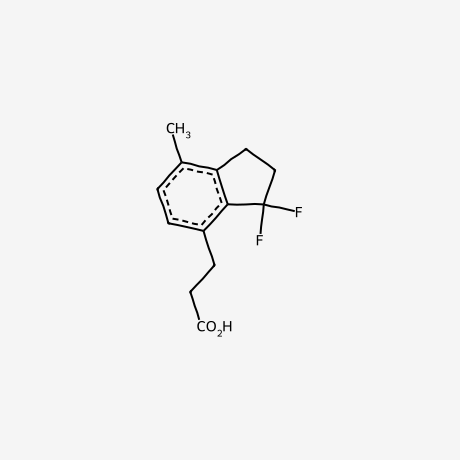 Cc1ccc(CCC(=O)O)c2c1CCC2(F)F